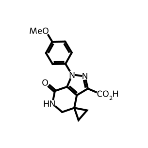 COc1ccc(-n2nc(C(=O)O)c3c2C(=O)NCC32CC2)cc1